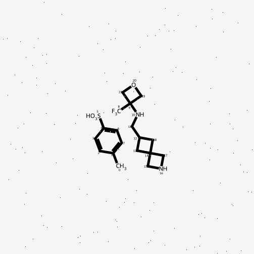 Cc1ccc(S(=O)(=O)O)cc1.FC(F)(F)C1(NCC2CC3(CNC3)C2)COC1